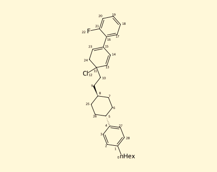 CCCCCCc1ccc([C@H]2CC[C@H](CCC3(Cl)C=CC(c4ccccc4F)=CC3)CC2)cc1